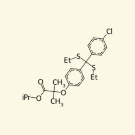 CCSC(SCC)(c1ccc(Cl)cc1)c1ccc(OC(C)(C)C(=O)OC(C)C)cc1